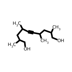 CC(C#CC(C)CC(C)CO)CC(C)CO